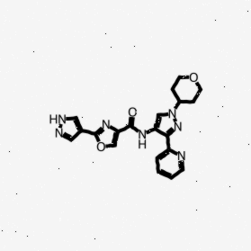 O=C(Nc1cn(C2CCOCC2)nc1-c1ccccn1)c1coc(-c2cn[nH]c2)n1